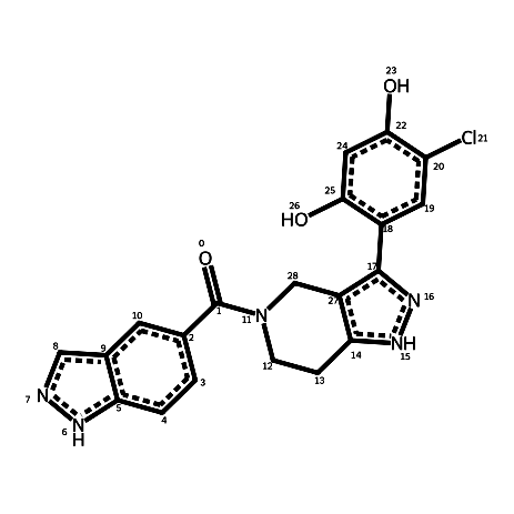 O=C(c1ccc2[nH]ncc2c1)N1CCc2[nH]nc(-c3cc(Cl)c(O)cc3O)c2C1